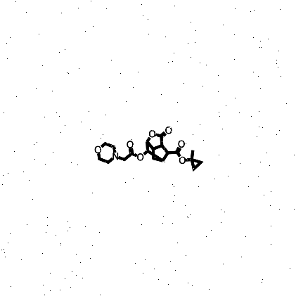 CC1(OC(=O)C2C3CC4C(OC(=O)C42)C3OC(=O)CN2CCOCC2)CC1